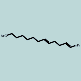 CCCC=CCCC=CCCCCCCOC(C)=O